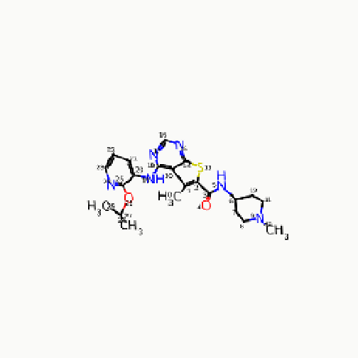 Cc1c(C(=O)NC2CCN(C)CC2)sc2ncnc(Nc3cccnc3OC(C)C)c12